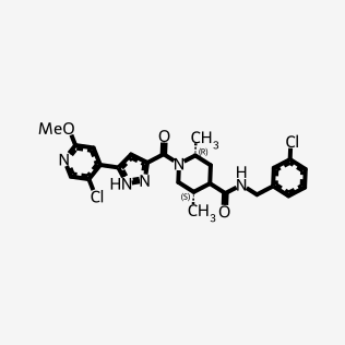 COc1cc(-c2cc(C(=O)N3C[C@@H](C)C(C(=O)NCc4cccc(Cl)c4)C[C@H]3C)n[nH]2)c(Cl)cn1